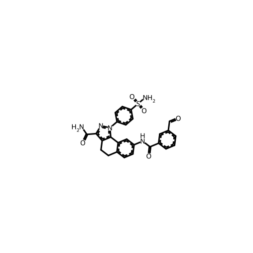 NC(=O)c1nn(-c2ccc(S(N)(=O)=O)cc2)c2c1CCc1ccc(NC(=O)c3cccc(C=O)c3)cc1-2